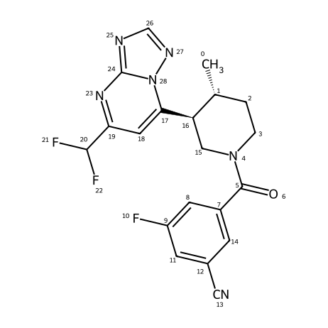 C[C@@H]1CCN(C(=O)c2cc(F)cc(C#N)c2)C[C@H]1c1cc(C(F)F)nc2ncnn12